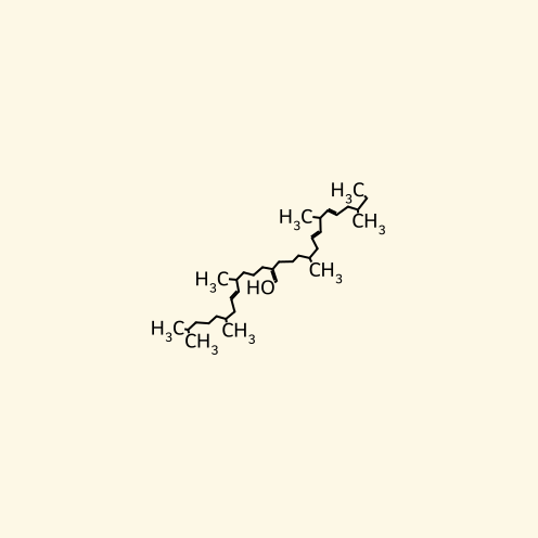 CCC(C)CC=CC(C)C=CCC(C)CCCC(=CO)CCCC(C)C=CCC(C)CCCC(C)C